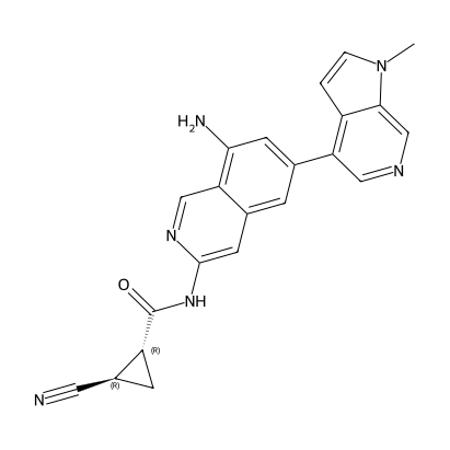 Cn1ccc2c(-c3cc(N)c4cnc(NC(=O)[C@@H]5C[C@H]5C#N)cc4c3)cncc21